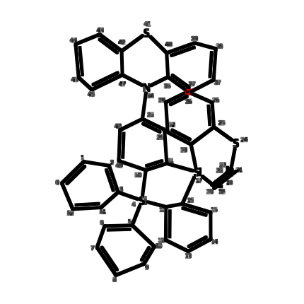 c1ccc([Si]2(c3ccccc3)c3ccccc3[Si]3(c4ccccc4Sc4ccccc43)c3cc(N4c5ccccc5Sc5ccccc54)ccc32)cc1